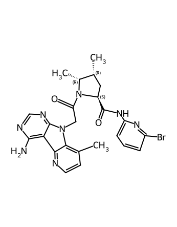 Cc1ccnc2c3c(N)ncnc3n(CC(=O)N3[C@H](C)[C@H](C)C[C@H]3C(=O)Nc3cccc(Br)n3)c12